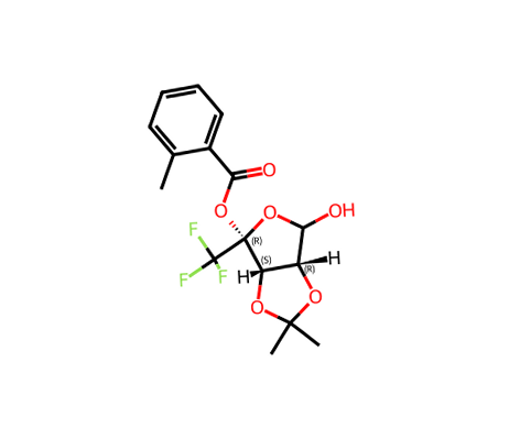 Cc1ccccc1C(=O)O[C@]1(C(F)(F)F)OC(O)[C@@H]2OC(C)(C)O[C@@H]21